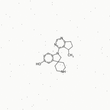 CC1CCc2ncnc(N3CC4(CCNCC4)c4cc(O)ccc43)c21